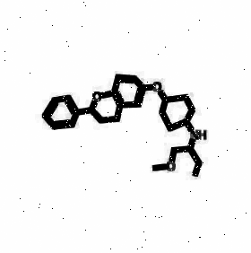 CCC(COC)NC1CCC(Oc2ccc3c(c2)CCC(c2ccccc2)O3)CC1